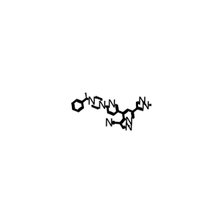 C[C@H](c1ccccc1)N1CCN(c2ccc(-c3cc(-c4cnn(C)c4)cn4ncc(C#N)c34)cn2)CC1